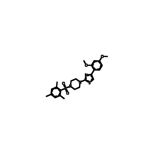 COc1ccc(-c2csc(N3CCN(S(=O)(=O)c4c(C)cc(C)cc4C)CC3)n2)c(OC)c1